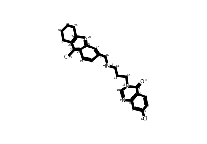 O=c1c2ccc(Cl)cc2ncn1CCCNCc1ccc2c(Cl)c3c(nc2c1)CCCC3